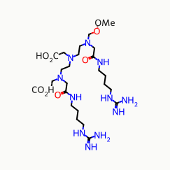 COOCN(CCN(CCN(CC(=O)O)CC(=O)NCCCCNC(=N)N)CC(=O)O)CC(=O)NCCCCNC(=N)N